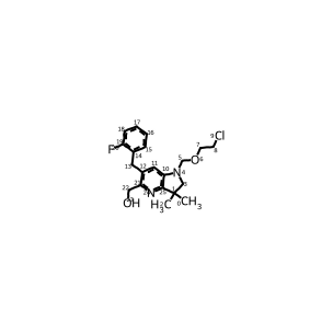 CC1(C)CN(COCCCl)c2cc(Cc3ccccc3F)c(CO)nc21